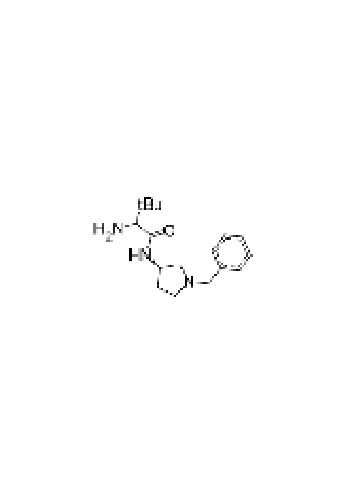 CC(C)(C)[C@H](N)C(=O)N[C@@H]1CCN(Cc2ccccc2)C1